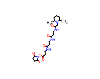 CC1CCCC(C)N1CC(=O)NCCC(=O)NCCC(=O)NCCC(=O)ON1C(=O)CCC1=O